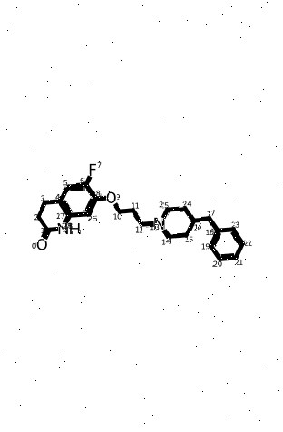 O=C1CCc2cc(F)c(OCCCN3CCC(Cc4ccccc4)CC3)cc2N1